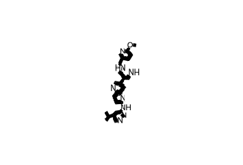 COc1ccc(CN/C=C(\C=N)c2cnc3ccc(Nc4cc(C(C)C)cnn4)nc3c2)cn1